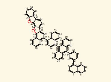 c1cc(-c2cccc3ccccc23)cc(-c2c3ccccc3c(-c3ccc(-c4cc5c6ccc7c8ccccc8oc7c6oc5c5ccccc45)c4ccccc34)c3ccccc23)c1